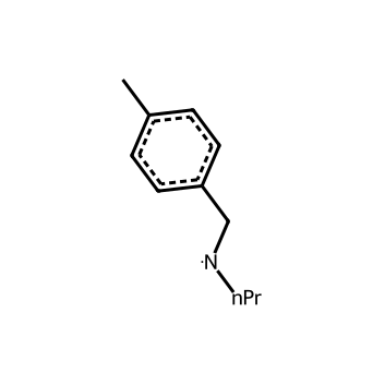 CCC[N]Cc1ccc(C)cc1